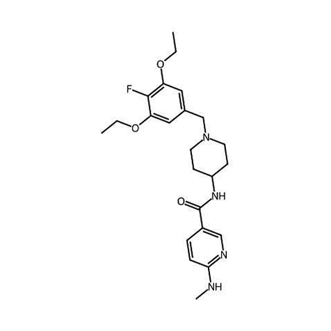 CCOc1cc(CN2CCC(NC(=O)c3ccc(NC)nc3)CC2)cc(OCC)c1F